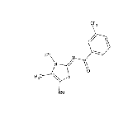 CCCn1c(C)c(C(C)(C)C)s/c1=N\C(=O)c1cccc(C(F)(F)F)c1